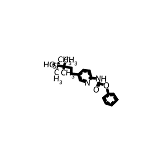 CC(C)(CCc1ccc(NC(=O)Oc2ccccc2)nc1)[Si](C)(C)O